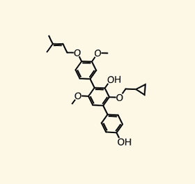 COc1cc(-c2c(OC)cc(-c3ccc(O)cc3)c(OCC3CC3)c2O)ccc1OCC=C(C)C